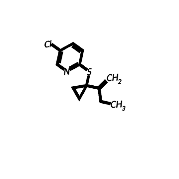 C=C(CC)C1(Sc2ccc(Cl)cn2)CC1